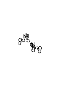 c1cnc(-n2c3ccc(-c4cnc(-n5c6ccccc6c6c7c(ccc65)oc5ccccc57)nc4)cc3c3cc4c(cc32)oc2ccccc24)nc1